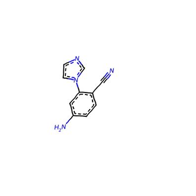 N#Cc1ccc(N)cc1-n1ccnc1